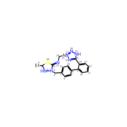 CCC1NN(Cc2ccc(-c3ccccc3-c3nnn[nH]3)cc2)C(=NCC(C)=O)S1